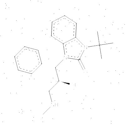 CNC[C@H](O)[C@H](c1ccccc1)n1c(=O)n(C(C)(C)C)c2ccccc21